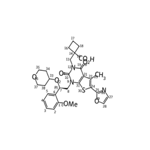 COc1ccccc1[C@H](Cn1c(=O)n(CC2(C(=O)O)CCC2)c(=O)c2c(C)c(-c3ncco3)sc21)OC1CCOCC1